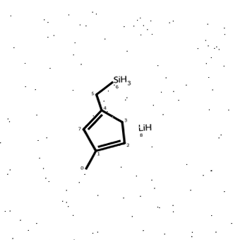 CC1=CCC(C[SiH3])=C1.[LiH]